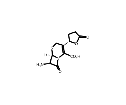 N[C@@H]1C(=O)N2C(C(=O)O)=C([C@@H]3CCC(=O)O3)CS[C@H]12